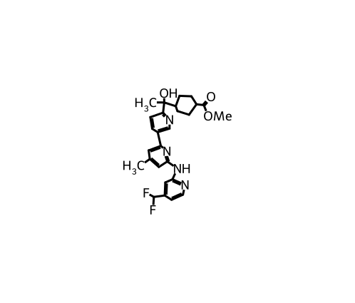 COC(=O)C1CCC(C(C)(O)c2ccc(-c3cc(C)cc(Nc4cc(C(F)F)ccn4)n3)cn2)CC1